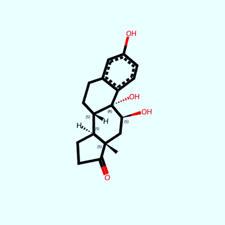 C[C@]12C[C@H](O)[C@]3(O)c4ccc(O)cc4CC[C@H]3[C@@H]1CCC2=O